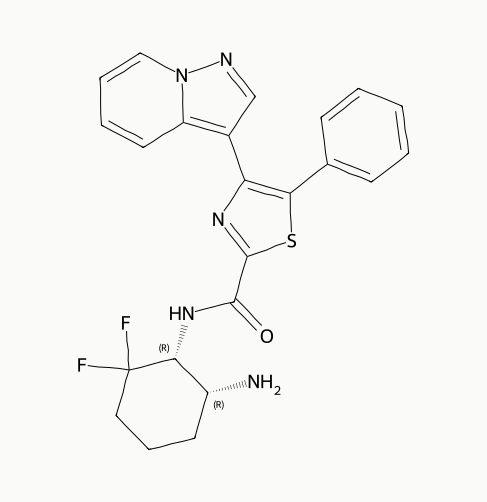 N[C@@H]1CCCC(F)(F)[C@@H]1NC(=O)c1nc(-c2cnn3ccccc23)c(-c2ccccc2)s1